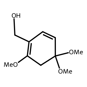 COC1=C(CO)C=CC(OC)(OC)C1